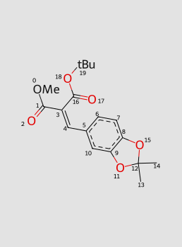 COC(=O)/C(=C/c1ccc2c(c1)OC(C)(C)O2)C(=O)OC(C)(C)C